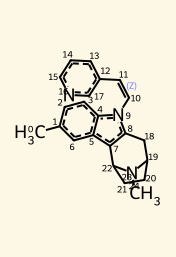 Cc1ccc2c(c1)c1c(n2/C=C\c2cccnc2)CC2CCC1N2C